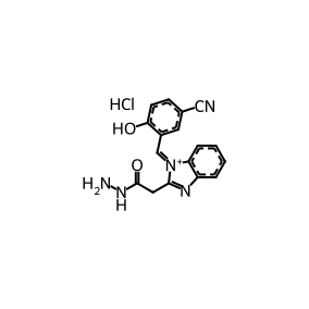 Cl.N#Cc1ccc(O)c(C=[N+]2C(CC(=O)NN)=Nc3ccccc32)c1